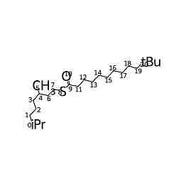 CC(C)CCCC(C)CCSC(=O)CCCCCCCCCC(C)(C)C